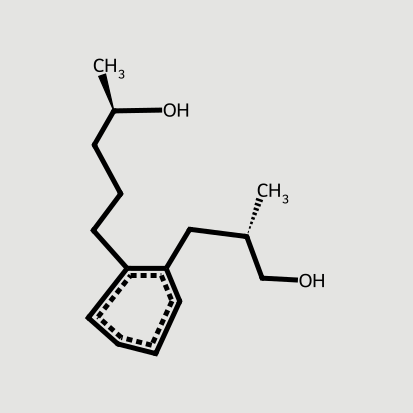 C[C@H](CO)Cc1ccccc1CCC[C@@H](C)O